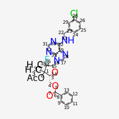 CC(=O)O[C@]1(C)[C@@H](COC(=O)c2ccccc2)O[C@@H](n2cnc3c(NCc4cccc(Cl)c4)ncnc32)[C@]1(C)F